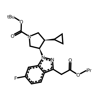 CC(C)OC(=O)Cc1nn([C@H]2CN(C(=O)OC(C)(C)C)C[C@H]2C2CC2)c2cc(F)ccc12